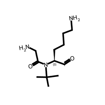 CC(C)(C)N(C(=O)CN)[C@H]([C]=O)CCCCN